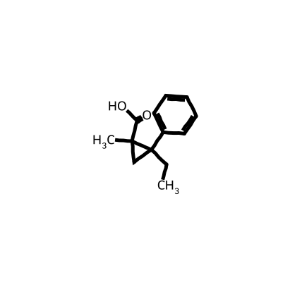 CCC1(c2ccccc2)CC1(C)C(=O)O